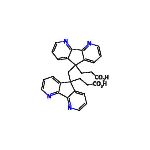 O=C(O)CCC1(CC2(CCC(=O)O)c3cccnc3-c3ncccc32)c2cccnc2-c2ncccc21